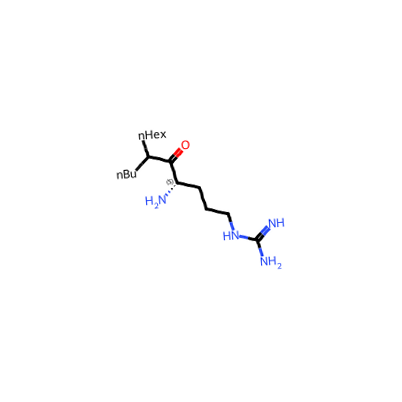 CCCCCCC(CCCC)C(=O)[C@@H](N)CCCNC(=N)N